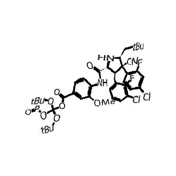 COc1cc(C(=O)OC(OP=O)(OC(C)(C)C)OC(C)(C)C)ccc1NC(=O)[C@@H]1N[C@@H](CC(C)(C)C)[C@](C#N)(c2ccc(Cl)cc2F)[C@H]1c1cccc(Cl)c1F